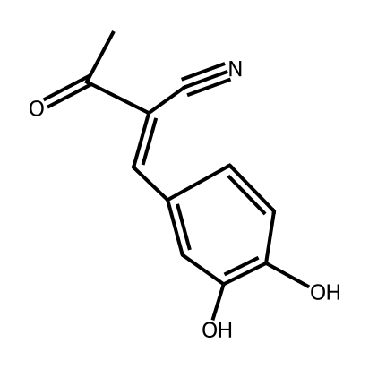 CC(=O)/C(C#N)=C/c1ccc(O)c(O)c1